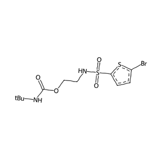 CC(C)(C)NC(=O)OCCNS(=O)(=O)c1ccc(Br)s1